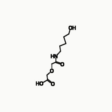 O=C(O)COCC(=O)NCCCCCO